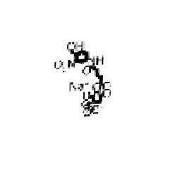 O=C(CCCC(=O)ON1C(=O)CC(S(=O)(=O)[O-])C1=O)Nc1ccc(CO)c([N+](=O)[O-])c1.[Na+]